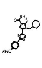 COc1ccc(-c2nc(-c3cc(C(N)=O)c(C)n3CC3CCCCC3)cs2)cc1